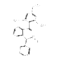 COc1cc(OC)c(C(=O)c2ccccc2C(P=O)c2ccccc2)c(OC)c1